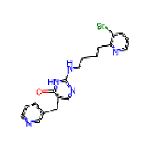 O=c1[nH]c(NCCCCc2ncccc2Br)ncc1Cc1cccnc1